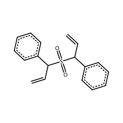 C=CC(c1ccccc1)S(=O)(=O)C(C=C)c1ccccc1